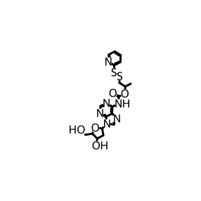 CC(CSSc1ccccn1)OC(=O)Nc1ncnc2c1ncn2C1CC(O)C(CO)O1